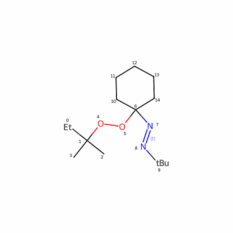 CCC(C)(C)OOC1(/N=N/C(C)(C)C)CCCCC1